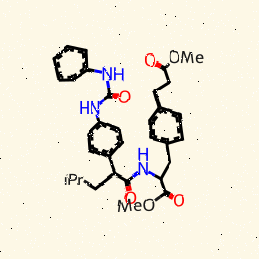 COC(=O)CCc1ccc(CC(NC(=O)C(CC(C)C)c2ccc(NC(=O)Nc3ccccc3)cc2)C(=O)OC)cc1